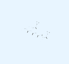 CCC(=O)N(C(=O)CC(=O)NN(C)C(=S)C1CC1)N(C)C(=S)C1CC1